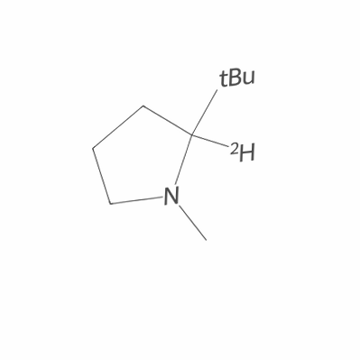 [2H]C1(C(C)(C)C)CCCN1C